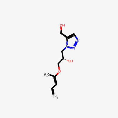 C=C/C=C(\C)OC[C@@H](O)Cn1nncc1CO